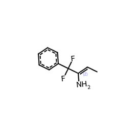 C/C=C(\N)C(F)(F)c1ccccc1